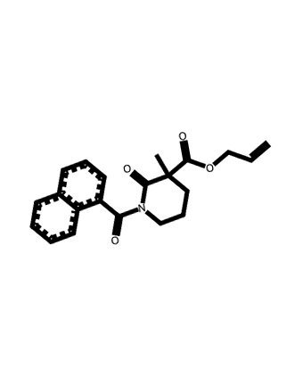 C=CCOC(=O)C1(C)CCCN(C(=O)c2cccc3ccccc23)C1=O